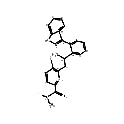 CN(C)C(=O)c1ccc(F)c(CC(N)c2ccccc2-c2noc3ccccc23)n1